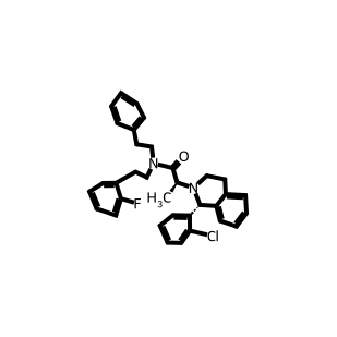 C[C@@H](C(=O)N(CCc1ccccc1)CCc1ccccc1F)N1CCc2ccccc2[C@@H]1c1ccccc1Cl